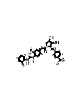 COc1cc(CC(=O)N2C[C@H](O)[C@H](O)[C@H]2COc2ccc(C(=O)O)cc2)ccc1NC(=O)Nc1ccccc1C